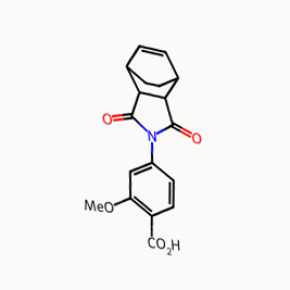 COc1cc(N2C(=O)C3C4C=CC(CC4)C3C2=O)ccc1C(=O)O